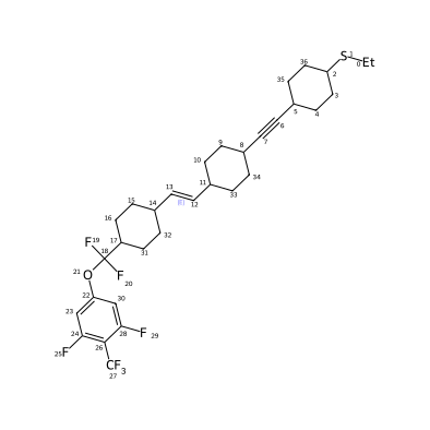 CCSC1CCC(C#CC2CCC(/C=C/C3CCC(C(F)(F)Oc4cc(F)c(C(F)(F)F)c(F)c4)CC3)CC2)CC1